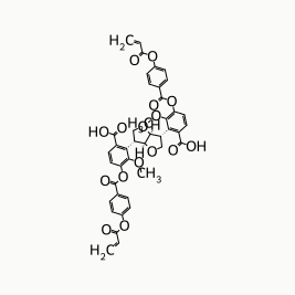 C=CC(=O)Oc1ccc(C(=O)Oc2ccc(C(=O)O)c([C@@H]3CO[C@@H]4[C@H]3OC[C@H]4c3c(C(=O)O)ccc(OC(=O)c4ccc(OC(=O)C=C)cc4)c3OC)c2OC)cc1